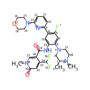 C[C@H]1CN(c2cc(F)c(-c3cccc(N4CCOCC4)n3)cc2NC(=O)c2cn(C)c(=O)cc2C(F)F)CCN1C